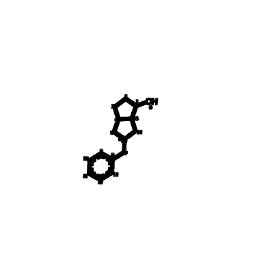 OC1CCC2CN(Cc3ccccc3)CC12